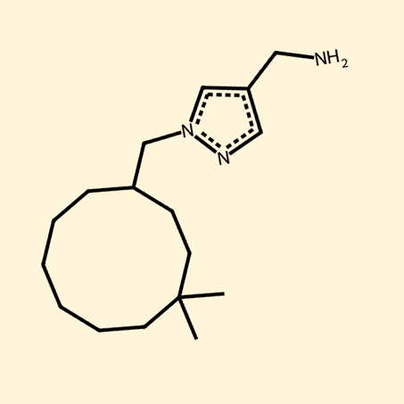 CC1(C)CCCCCCC(Cn2cc(CN)cn2)CC1